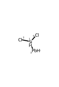 Cl[SiH](Cl)[PbH]